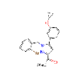 COC(=O)c1cc(-c2cccc(OC3CC3)c2)n(Cc2ccccc2Br)n1